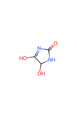 O=C1N=C(O)C(O)N1